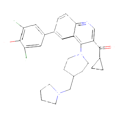 O=C(c1cnc2ccc(-c3cc(F)c(O)c(Cl)c3)cc2c1N1CCC(CN2CCCC2)CC1)C1CC1